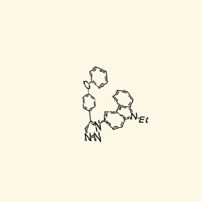 CCn1c2ccccc2c2cc(-n3nncc3-c3ccc(Oc4ccccc4)cc3)ccc21